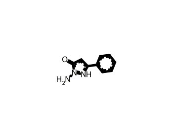 Nn1[nH]c(-c2ccccc2)cc1=O